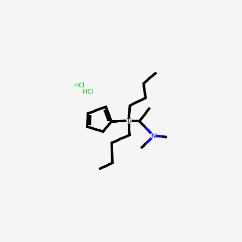 CCC[CH2][Ti]([CH2]CCC)([C]1=CC=CC1)[CH](C)N(C)C.Cl.Cl